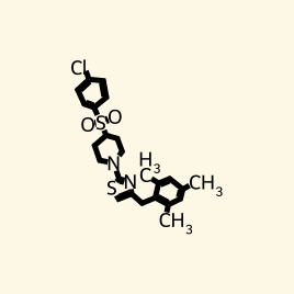 Cc1cc(C)c(Cc2csc(N3CCC(S(=O)(=O)c4ccc(Cl)cc4)CC3)n2)c(C)c1